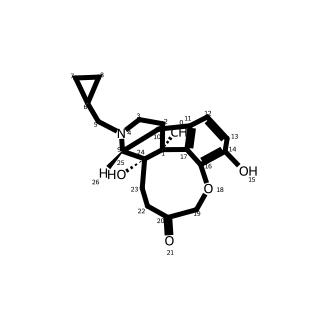 C[C@]12CCN(CC3CC3)[C@@H]3Cc4ccc(O)c(c41)OCC(=O)CC[C@@]32O